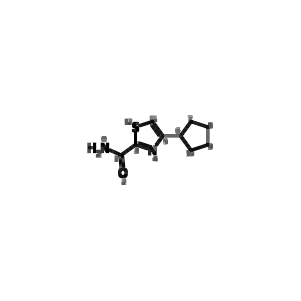 NC(=O)c1nc(C2CCCC2)cs1